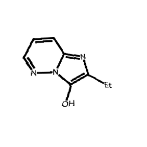 CCc1nc2cccnn2c1O